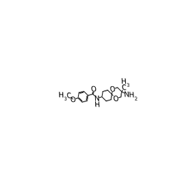 COc1ccc(C(=O)NC2CCC3(CC2)OCC(C)(N)CO3)cc1